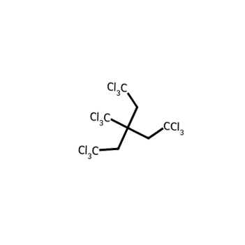 ClC(Cl)(Cl)CC(CC(Cl)(Cl)Cl)(CC(Cl)(Cl)Cl)C(Cl)(Cl)Cl